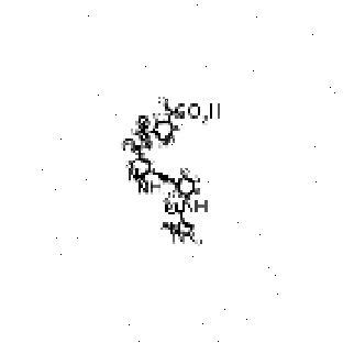 Cc1cc(C(=O)Nc2cccc(C#Cc3cc(C(=O)N=S(C)(=O)c4cccc(C(C)C(=O)O)c4)cnc3N)c2)n(C)n1